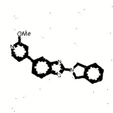 COc1cc(-c2ccc3oc(N4Cc5ccccc5C4)nc3c2)ccn1